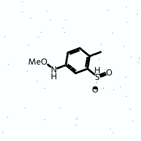 CONc1ccc(C)c([SH](=O)=O)c1